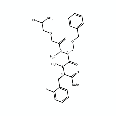 CCC(N)COCC(=O)N(C)[C@H](COCc1ccccc1)C(=O)N(C)[C@H](Cc1ccccc1F)C(=O)NC